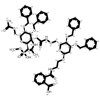 COP(=O)(O)C[C@H]1O[C@H](COC(C)=O)[C@@H](OCc2ccccc2)[C@H](OCc2ccccc2)[C@@]1(CC(=O)NOC[C@H]1O[C@H](OCCNC(=O)c2ccccc2C(=O)O)C[C@@H](OCc2ccccc2)[C@@H]1OCc1ccccc1)NC(C)=O